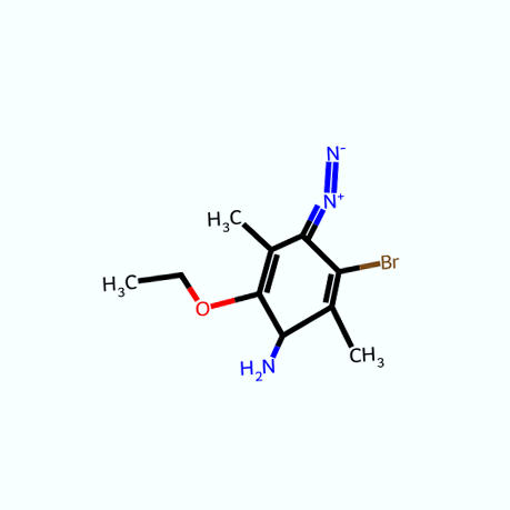 CCOC1=C(C)C(=[N+]=[N-])C(Br)=C(C)C1N